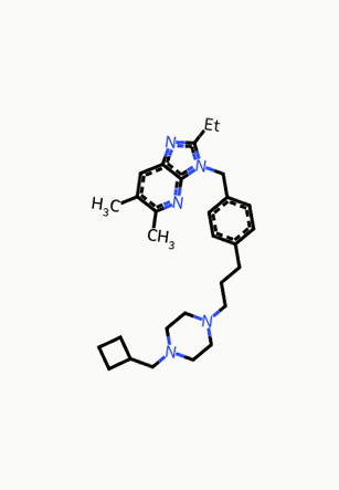 CCc1nc2cc(C)c(C)nc2n1Cc1ccc(CCCN2CCN(CC3CCC3)CC2)cc1